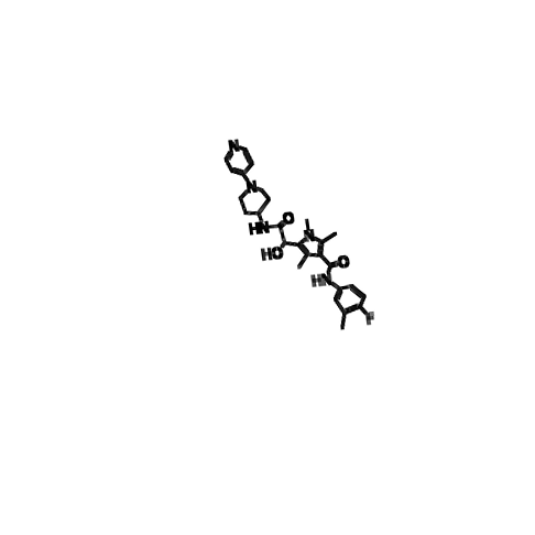 Cc1cc(NC(=O)c2c(C)c(C(O)C(=O)NC3CCN(c4ccncc4)CC3)n(C)c2C)ccc1F